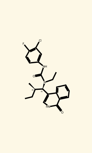 CC[C@@H](C)[C@H](c1c[nH]c(=O)c2ccccc12)N(CC)C(=O)Nc1ccc(F)c(Cl)c1